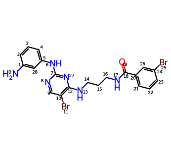 Nc1cccc(Nc2ncc(Br)c(NCCCNC(=O)c3cccc(Br)c3)n2)c1